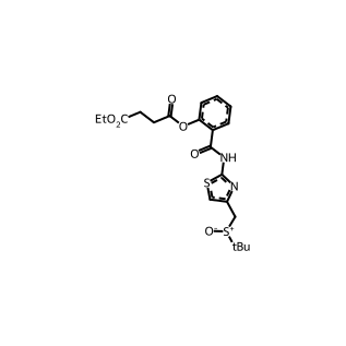 CCOC(=O)CCC(=O)Oc1ccccc1C(=O)Nc1nc(C[S+]([O-])C(C)(C)C)cs1